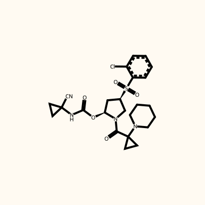 N#CC1(NC(=O)O[C@H]2C[C@@H](S(=O)(=O)c3ccccc3Cl)CN2C(=O)C2(N3CCCCC3)CC2)CC1